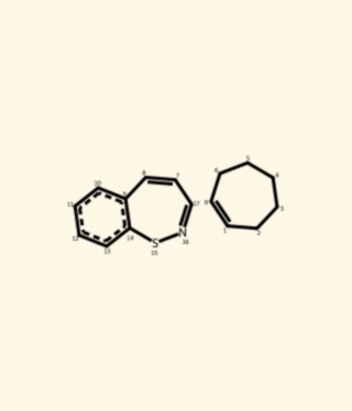 C1=CCCCCC1.C1=Cc2ccccc2SN=C1